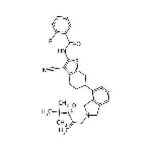 C=C(CN1Cc2cccc(C3CCc4c(sc(NC(=O)c5ccccc5F)c4C#N)C3)c2C1)[S+]([O-])C(C)(C)C